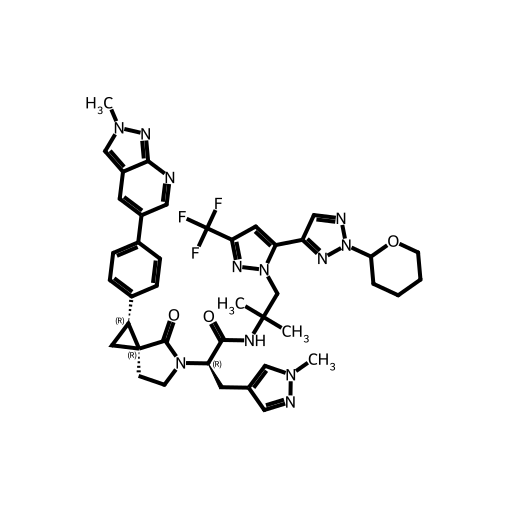 Cn1cc(C[C@H](C(=O)NC(C)(C)Cn2nc(C(F)(F)F)cc2-c2cnn(C3CCCCO3)n2)N2CC[C@@]3(C[C@@H]3c3ccc(-c4cnc5nn(C)cc5c4)cc3)C2=O)cn1